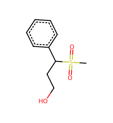 CS(=O)(=O)C(CCO)c1ccccc1